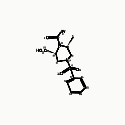 CC(C)C(=O)N1[C@H](C)CN(S(=O)(=O)c2ccccc2)C[C@@H]1C(=O)O